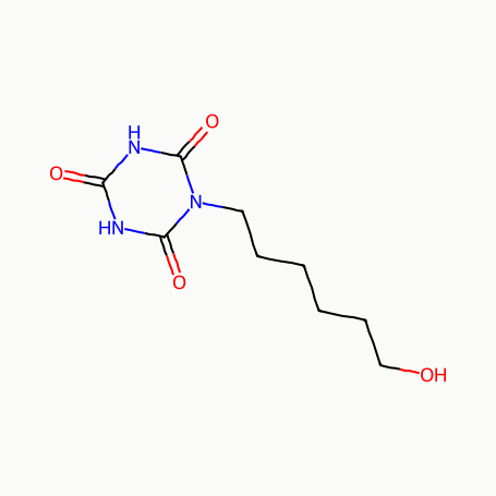 O=c1[nH]c(=O)n(CCCCCCO)c(=O)[nH]1